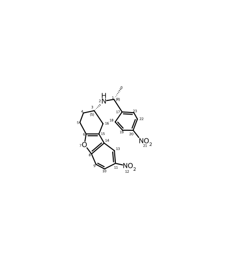 C[C@@H](N[C@H]1CCc2oc3ccc([N+](=O)[O-])cc3c2C1)c1ccc([N+](=O)[O-])cc1